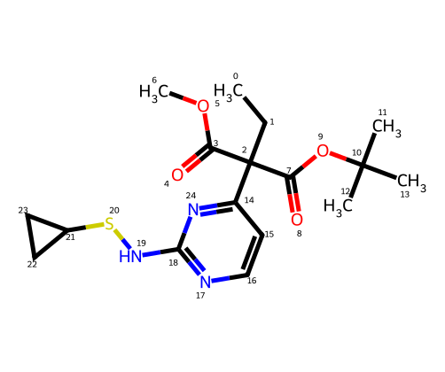 CCC(C(=O)OC)(C(=O)OC(C)(C)C)c1ccnc(NSC2CC2)n1